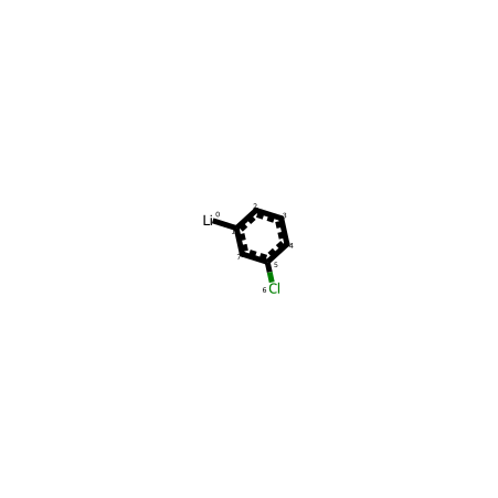 [Li][c]1cccc(Cl)c1